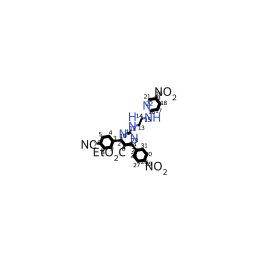 CCOC(=O)c1c(-c2ccc(C#N)cc2)nc(NCCNc2ccc([N+](=O)[O-])cn2)nc1-c1ccc([N+](=O)[O-])cc1